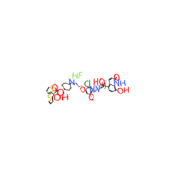 COc1cc(OCCCN(C)C2CCC(OC(=O)C(O)(c3cccs3)c3cccs3)CC2)c(Cl)cc1CNC[C@@H](O)c1ccc(O)c2[nH]c(=O)ccc12.F